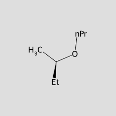 CCCO[C@H](C)CC